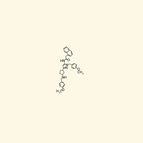 COc1ccc(CNC2CCC(c3cc(NC(=O)Cc4cccc5ccccc45)n(Cc4ccc(OC)cc4)n3)C2)cc1